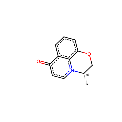 C[C@H]1COc2cccc3c(=O)ccn1c23